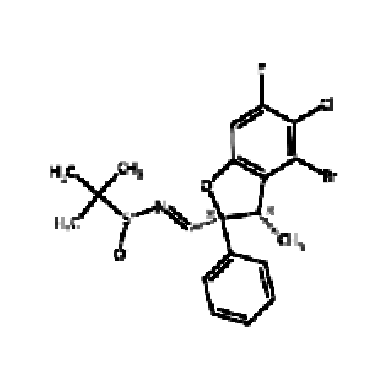 C[C@H]1c2c(cc(F)c(Cl)c2Br)O[C@]1(C=N[S+]([O-])C(C)(C)C)c1ccccc1